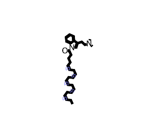 CC/C=C\C/C=C\C/C=C\C/C=C\C/C=C\CCCC(=O)n1cc(CCN(C)C)c2ccccc21